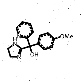 COc1ccc(C(O)(C2=NCCN2)c2ccccn2)cc1